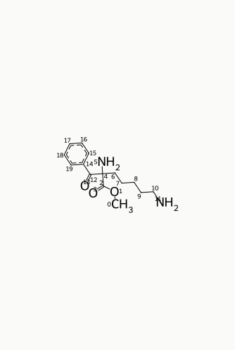 COC(=O)C(N)(CCCCCN)C(=O)c1ccccc1